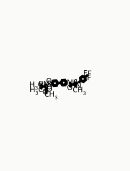 COC(=O)C(NS(=O)(=O)c1ccc(-c2ccc(NC(=O)c3sc(-c4ccc(C(F)(F)F)cc4)nc3C)cc2)cc1)C(C)C